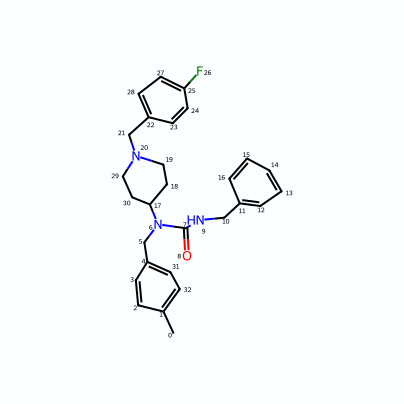 Cc1ccc(CN(C(=O)NCc2ccccc2)C2CCN(Cc3ccc(F)cc3)CC2)cc1